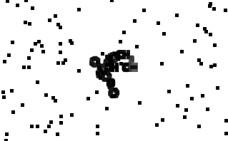 CN1CCN(CC(O)C(c2ccccc2)n2ccc3cc(OCc4ccccc4)ccc32)CC1.Cl